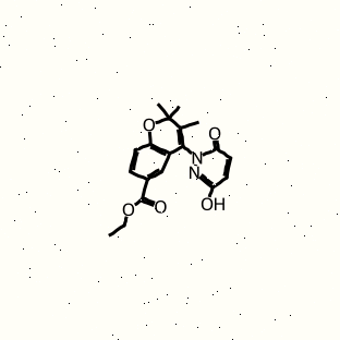 CCOC(=O)c1ccc2c(c1)C(n1nc(O)ccc1=O)=C(C)C(C)(C)O2